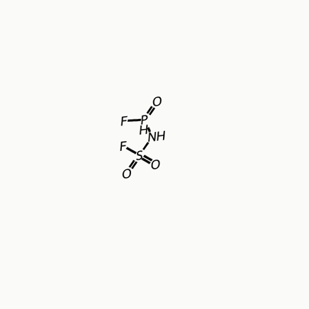 O=[PH](F)NS(=O)(=O)F